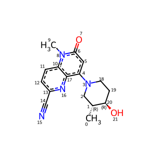 C[C@@H]1CN(c2cc(=O)n(C)c3ccc(C#N)nc23)CC[C@H]1O